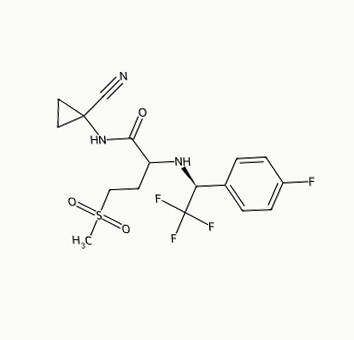 CS(=O)(=O)CCC(N[C@@H](c1ccc(F)cc1)C(F)(F)F)C(=O)NC1(C#N)CC1